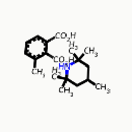 CC1CC(C)(C)NC(C)(C)C1.Cc1cccc(C(=O)O)c1C(=O)O